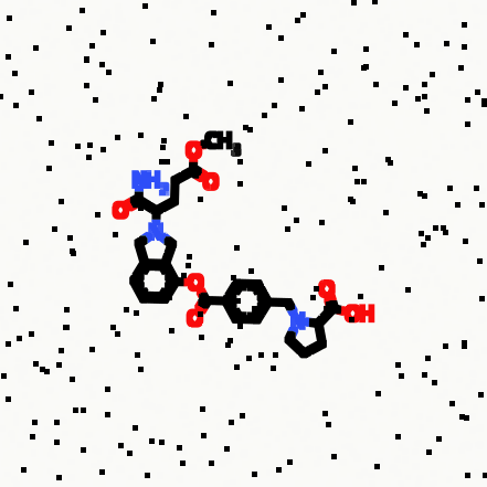 COC(=O)CCC(C(N)=O)N1Cc2cccc(OC(=O)c3ccc(CN4CCCC4C(=O)O)cc3)c2C1